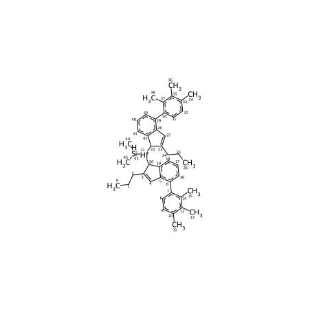 CCCC1=Cc2c(-c3ccc(C)c(C)c3C)cccc2[CH]1[Hf]([CH]1C(CCC)=Cc2c(-c3ccc(C)c(C)c3C)cccc21)[SiH](C)C